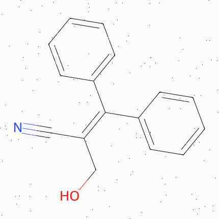 N#CC(CO)=C(c1ccccc1)c1ccccc1